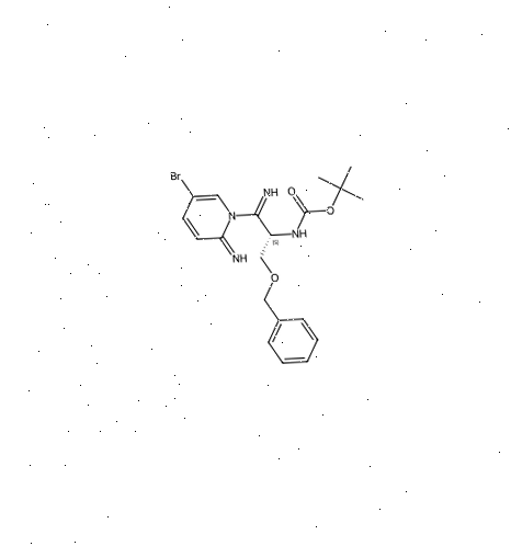 CC(C)(C)OC(=O)N[C@H](COCc1ccccc1)C(=N)n1cc(Br)ccc1=N